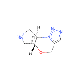 c1nnn2c1CO[C@@H]1CNC[C@H]12